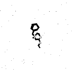 CCOC1C[N+](C)(Cc2ccccc2)CCO1